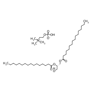 CCCCCCCCCCCCCCCC(=O)OC[C@H](CO)OC(=O)CCCCCCCCCCCCCCC.C[N+](C)(C)CCOP(=O)([O-])O